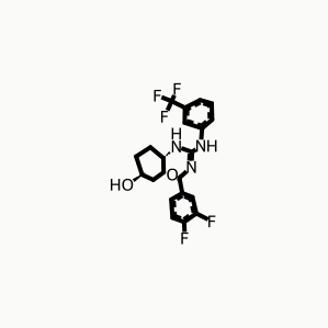 O=C(/N=C(/Nc1cccc(C(F)(F)F)c1)N[C@H]1CC[C@H](O)CC1)c1ccc(F)c(F)c1